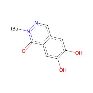 CC(C)(C)n1ncc2cc(O)c(O)cc2c1=O